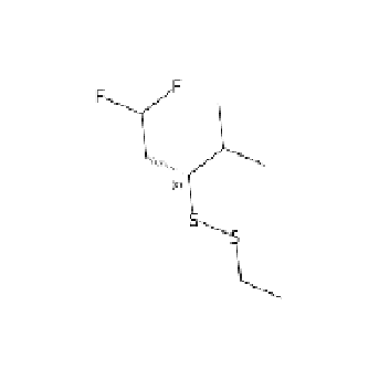 CCSS[C@H](CC(F)F)C(C)C